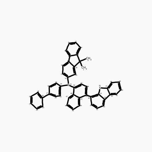 CC1(C)c2ccccc2-c2ccc(N(c3ccc(-c4ccccc4)cc3)c3ccc(-c4cccc5c4sc4ccccc45)c4ccccc34)cc21